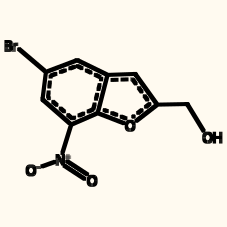 O=[N+]([O-])c1cc(Br)cc2cc(CO)oc12